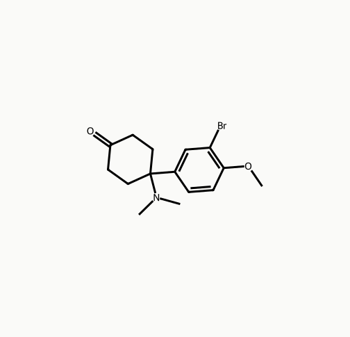 COc1ccc(C2(N(C)C)CCC(=O)CC2)cc1Br